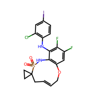 O=S1(=O)Nc2c(cc(F)c(F)c2Nc2ccc(I)cc2Cl)OC/C=C/CC12CC2